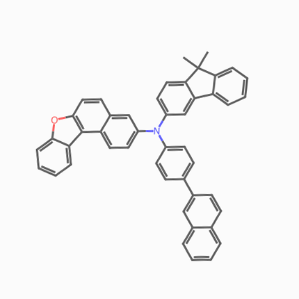 CC1(C)c2ccccc2-c2cc(N(c3ccc(-c4ccc5ccccc5c4)cc3)c3ccc4c(ccc5oc6ccccc6c54)c3)ccc21